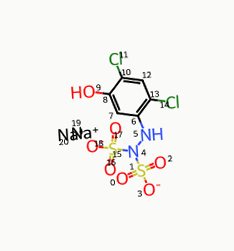 O=S(=O)([O-])N(Nc1cc(O)c(Cl)cc1Cl)S(=O)(=O)[O-].[Na+].[Na+]